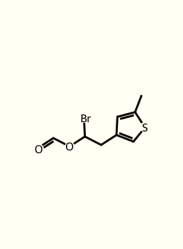 Cc1cc(CC(Br)OC=O)cs1